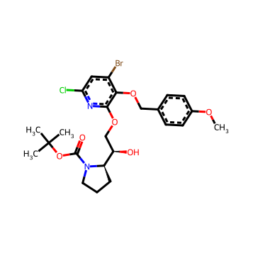 COc1ccc(COc2c(Br)cc(Cl)nc2OC[C@@H](O)[C@H]2CCCN2C(=O)OC(C)(C)C)cc1